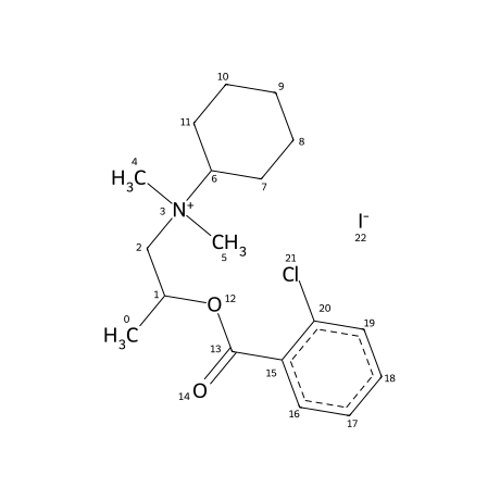 CC(C[N+](C)(C)C1CCCCC1)OC(=O)c1ccccc1Cl.[I-]